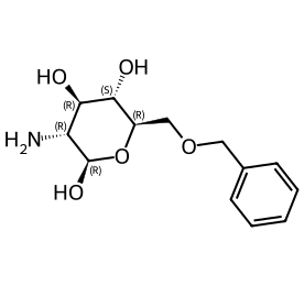 N[C@@H]1[C@@H](O)[C@H](O)[C@@H](COCc2ccccc2)O[C@H]1O